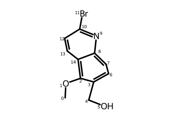 COc1c(CO)ccc2nc(Br)ccc12